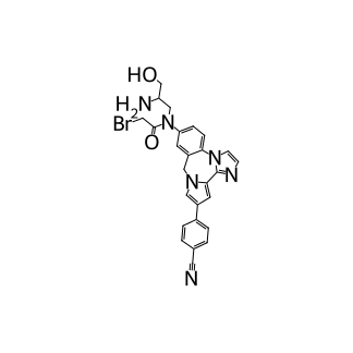 N#Cc1ccc(-c2cc3n(c2)Cc2cc(N(CC(N)CO)C(=O)CBr)ccc2-n2ccnc2-3)cc1